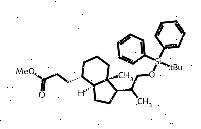 COC(=O)CC[C@@H]1CCC[C@]2(C)[C@@H](C(C)CO[Si](c3ccccc3)(c3ccccc3)C(C)(C)C)CC[C@@H]12